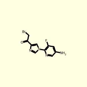 Nc1cnc(-n2cnc(C(=O)CBr)c2)c(F)c1